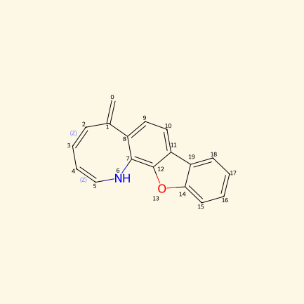 C=C1/C=C\C=C/Nc2c1ccc1c2oc2ccccc21